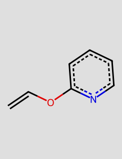 C=COc1ccccn1